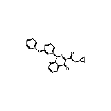 O=C(NC1CC1)c1nn(-c2cccc(Sc3ccccc3)c2)c2ncccc2c1=O